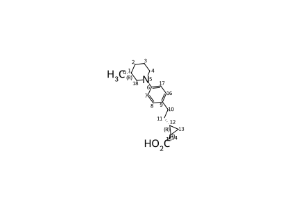 C[C@@H]1CCCN(c2ccc(CC[C@@H]3C[C@H]3C(=O)O)cc2)C1